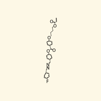 C=CC(=O)OCCCCOc1ccc(C(=O)Oc2ccc(/C=N/N=C/c3ccc(F)cc3)cc2)cc1